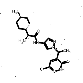 CC(c1cc(Cl)n[nH]c1=O)n1cc(NC(=O)[C@@H](N)[C@H]2CC[C@H](C)CC2)cn1